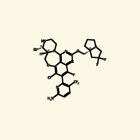 CC[C@@H]1NCCN2c3nc(OC[C@]45CCCN4CC(F)(F)C5)nc4c(F)c(-c5nc(N)ccc5C(F)(F)F)c(Cl)c(c34)OC[C@H]12